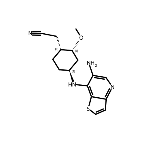 CO[C@@H]1C[C@@H](Nc2c(N)cnc3ccsc23)CC[C@@H]1CC#N